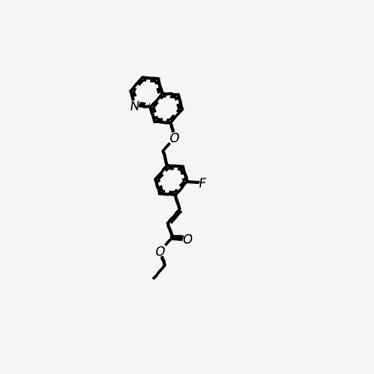 CCOC(=O)C=Cc1ccc(COc2ccc3cccnc3c2)cc1F